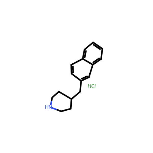 Cl.c1ccc2cc(CC3CCNCC3)ccc2c1